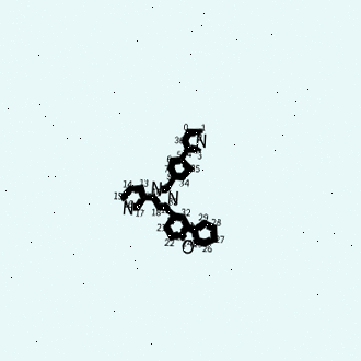 c1cncc(-c2ccc(-c3nc(-c4cccnc4)cc(-c4ccc5oc6ccccc6c5c4)n3)cc2)c1